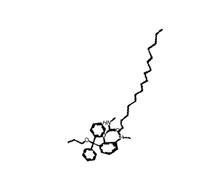 CCCCCCCCCCCCCCCCCCN(C)c1cccc(C(OCCC)(c2ccccc2)c2ccccc2)c1OC(=O)NC